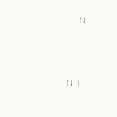 N#C[C@H]1CCCN1